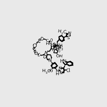 COc1cc(N2CCC(N3CC(N4C[C@H](O)C[C@H]4C(=O)NCc4ccc(-c5scnc5C)cc4)[C@H](C(C)(C)C)NC(=O)CCOCCOCCOCCC3=O)CC2)ccc1Nc1ncc(Cl)c(-c2c[nH]c3ccccc23)n1